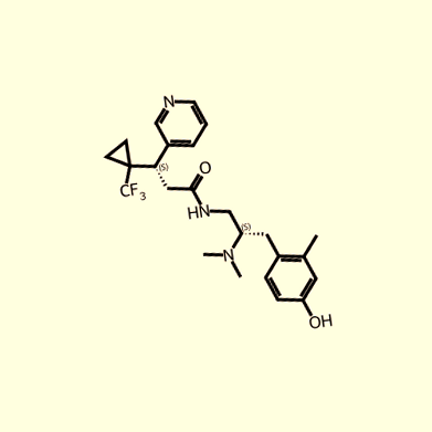 Cc1cc(O)ccc1C[C@@H](CNC(=O)C[C@@H](c1cccnc1)C1(C(F)(F)F)CC1)N(C)C